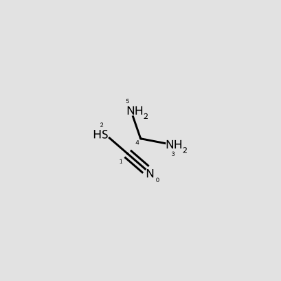 N#CS.NCN